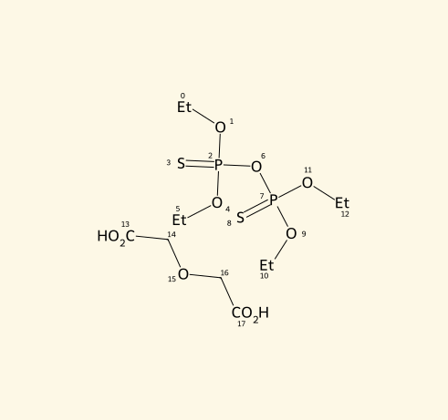 CCOP(=S)(OCC)OP(=S)(OCC)OCC.O=C(O)COCC(=O)O